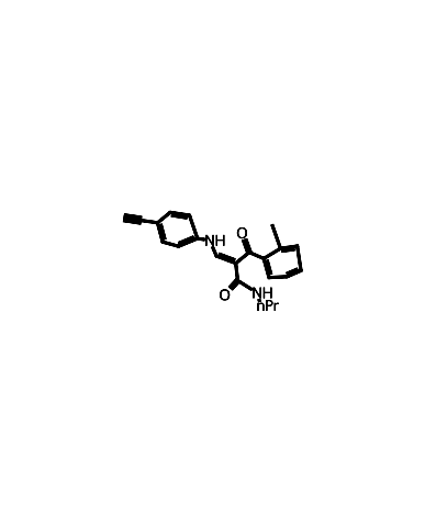 C#Cc1ccc(NC=C(C(=O)NCCC)C(=O)c2ccccc2C)cc1